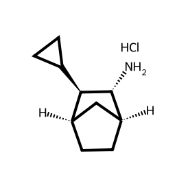 Cl.N[C@@H]1[C@H]2CC[C@H](C2)[C@H]1C1CC1